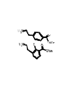 COC(=O)c1ccc(CCN)cc1.COC(=O)c1cccc(CCN)c1F